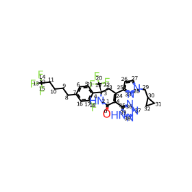 O=C1N[C@@](c2ccc(CCCCC(F)(F)F)cc2F)(C(F)(F)F)CC(c2ccn(CC3CC3)n2)=C1c1nnn[nH]1